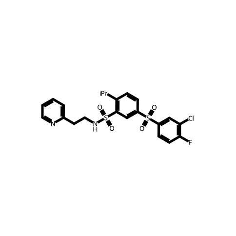 CC(C)c1ccc(S(=O)(=O)c2ccc(F)c(Cl)c2)cc1S(=O)(=O)NCCc1ccccn1